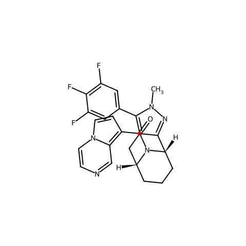 Cn1nc2c(c1-c1cc(F)c(F)c(F)c1)C[C@H]1CCC[C@@H]2N1C(=O)c1ccn2ccncc12